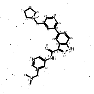 CN(C)Cc1cncc(NC(=O)c2n[nH]c3ccc(-c4cncc(CN5CCCC5)c4)cc23)c1